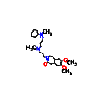 COc1cc2c(cc1OC)CC(=O)N(CCCN(C)CCCN(C)c1ccccc1)CC2